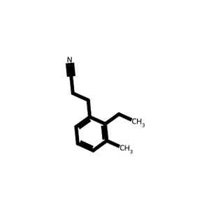 CCc1c(C)cccc1CCC#N